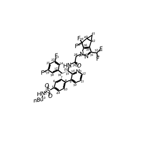 CCCCNS(=O)(=O)c1ccc(-c2cccnc2[C@H](Cc2cc(F)cc(F)c2)NC(=O)Cn2nc(C(F)F)c3c2C(F)(F)C2CC32)cc1